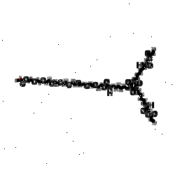 C=CC(=O)OCCOCCOCCOCCOCCOCCOCCOCCOCCOC(=O)NCCCCCCn1c(=O)n(CCCCCCNC(=O)COC(=O)C=C)c(=O)n(CCCCCCNC(=O)COC(=O)C=C)c1=O